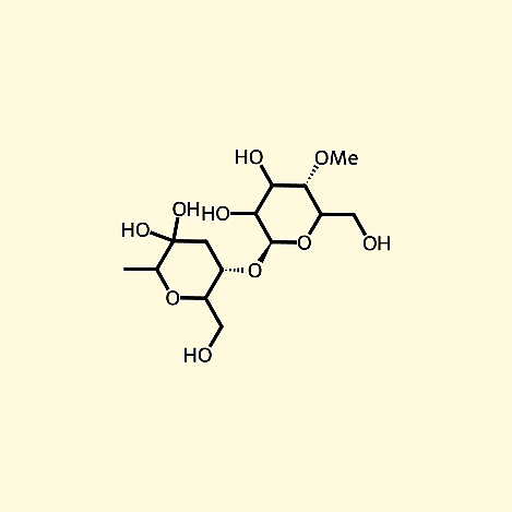 CO[C@@H]1C(CO)O[C@@H](O[C@H]2CC(O)(O)C(C)OC2CO)C(O)C1O